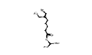 CCCCCCC(CCCCCC)OC(=O)CCCCC(CO)CO